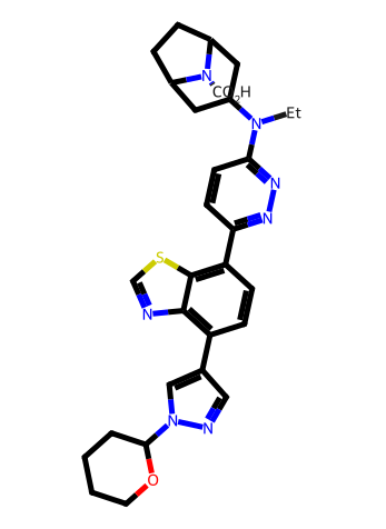 CCN(c1ccc(-c2ccc(-c3cnn(C4CCCCO4)c3)c3ncsc23)nn1)C1CC2CCC(C1)N2C(=O)O